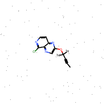 [2H]C([2H])(C#CC)Oc1cnc2c(Cl)nccc2n1